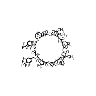 CC[C@H](C)[C@@H]1NC(=O)[C@H](CC2CC2)N(C)C(=O)C[C@@H](C(=O)N(C)C)N(C)C(=O)[C@H](C2CCCC2)N(C)C(=O)C2(CCC2)NC(=O)[C@@H]2CC(F)(F)CN2C(=O)[C@H](CCc2cc(F)c(C(F)(F)F)c(F)c2)NC(=O)CN(C)C(=O)[C@H](Cc2ccc(C(F)(F)F)cc2)N2CC/C=C\C[C@@H](C2=O)N(C)C(=O)CN(C)C1=O